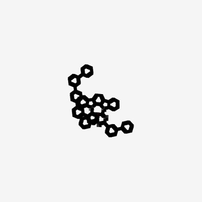 C1=CCC(c2nc(-c3cccc(-c4ccccc4)c3)nc(-n3c4ccccc4c4ccc5c6ccccc6n(-c6ccccc6-c6cccc(-c7ccc(-c8cccc(-c9ccccc9)c8)cc7)c6)c5c43)n2)C=C1